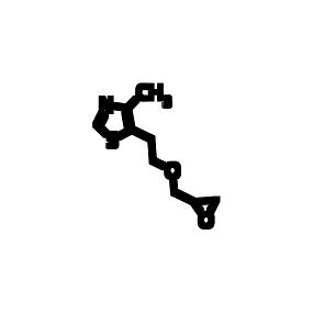 Cc1ncsc1CCOCC1CO1